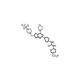 CS(=O)(=O)N1CCN(Cc2cc3c(N4CCOCC4)nc(-c4ccc(NC(=O)Nc5ccc(C(=O)O)cc5)cc4)nn3c2)CC1